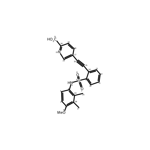 COc1ccc(NS(=O)(=O)c2ccccc2C#Cc2ccc(C(=O)O)nc2)c(C)c1C